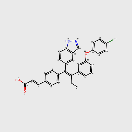 CCC(=C(c1ccc(C=CC(=O)O)cc1)c1ccc2[nH]ncc2c1)c1cccc(Oc2ccc(F)cc2)c1